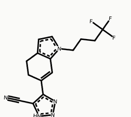 N#Cc1[nH]nnc1C1=Cc2c(ccn2CCCC(F)(F)F)CC1